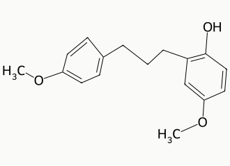 COc1ccc(CCCc2cc(OC)ccc2O)cc1